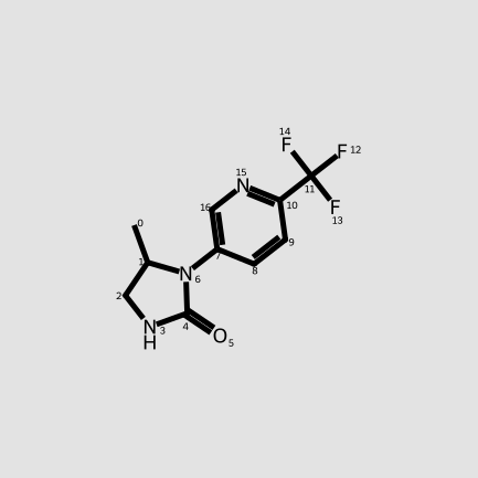 CC1CNC(=O)N1c1ccc(C(F)(F)F)nc1